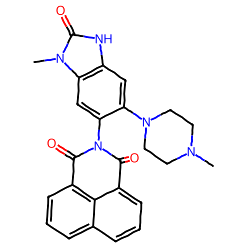 CN1CCN(c2cc3[nH]c(=O)n(C)c3cc2N2C(=O)c3cccc4cccc(c34)C2=O)CC1